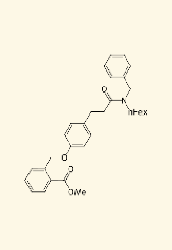 CCCCCCN(Cc1ccccc1)C(=O)CCc1ccc(OCc2ccccc2C(=O)OC)cc1